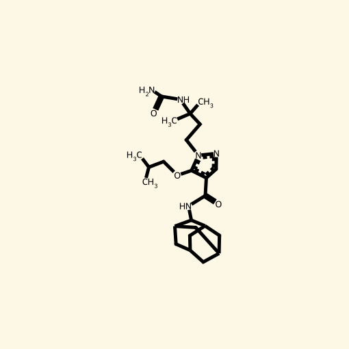 CC(C)COc1c(C(=O)NC2C3CC4CC(C3)CC2C4)cnn1CCC(C)(C)NC(N)=O